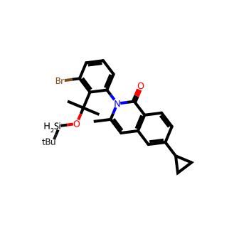 Cc1cc2cc(C3CC3)ccc2c(=O)n1-c1cccc(Br)c1C(C)(C)O[SiH2]C(C)(C)C